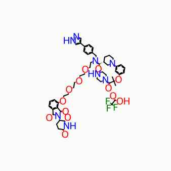 CC(C)(Oc1cccc(N2CCC[C@@H](C(=O)N(CCOCCOCCOCCOc3cccc4c3C(=O)N(C3CCC(=O)NC3=O)C4=O)Cc3ccc(-c4cn[nH]c4)cc3)C2)c1)C(=O)N1CCNCC1.O=C(O)C(F)(F)F